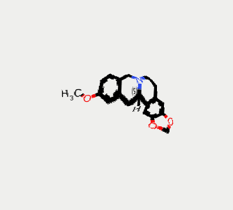 COc1ccc2c(c1)C[C@H]1c3cc4c(cc3CCN1C2)OCO4